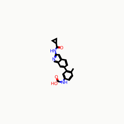 Cc1ccc(NC(=O)O)cc1-c1ccc2cc(NC(=O)C3CC3)ncc2c1